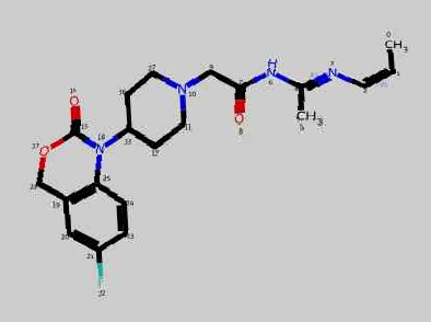 C/C=C\N=C(/C)NC(=O)CN1CCC(N2C(=O)OCc3cc(F)ccc32)CC1